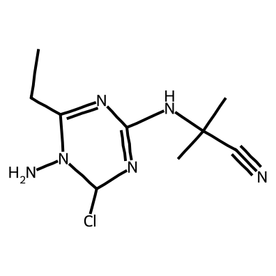 CCC1=NC(NC(C)(C)C#N)=NC(Cl)N1N